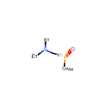 CCN(CC)CC.COP=O